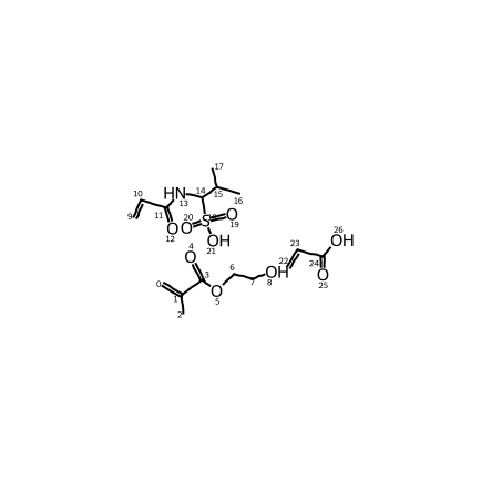 C=C(C)C(=O)OCCO.C=CC(=O)NC(C(C)C)S(=O)(=O)O.C=CC(=O)O